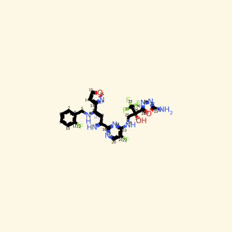 N=C(/C=C(\NCc1ccccc1F)c1ccon1)c1ncc(F)c(NCC(O)(c2nnc(N)o2)C(F)(F)F)n1